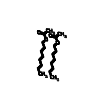 CCCCCCCCOC(C)=O.CCCCCCCCOC(C)=O